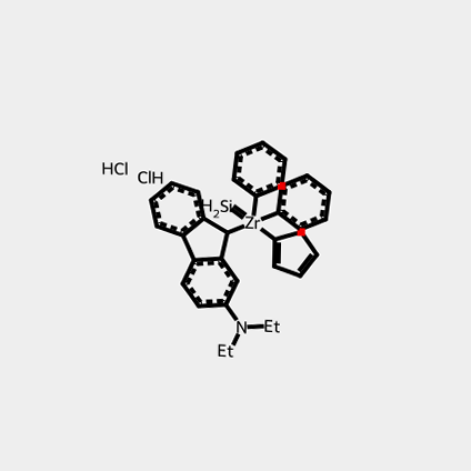 CCN(CC)c1ccc2c(c1)[CH]([Zr](=[SiH2])([C]1=CC=CC1)([c]1ccccc1)[c]1ccccc1)c1ccccc1-2.Cl.Cl